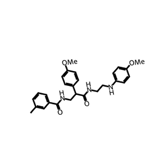 COc1ccc(NCCNC(=O)C(CNC(=O)c2cccc(C)c2)c2ccc(OC)cc2)cc1